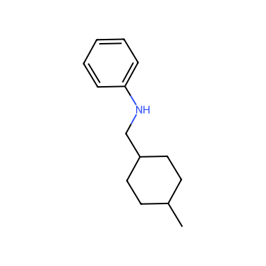 CC1CCC(CNc2ccccc2)CC1